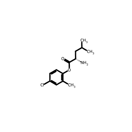 Cc1cc(Cl)ccc1OC(=O)[C@@H](N)CC(C)C